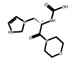 O=C(O)N[C@@H](CN1C=CNC1)C(=O)N1CCOCC1